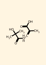 C=C(C)C(=O)O.CC(C)(O)C(=O)O